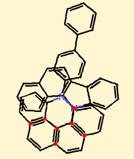 c1ccc(-c2ccc(N(c3ccccc3-c3ccccc3)c3ccccc3-c3ccccc3-n3c4ccccc4c4ccc5ccccc5c43)cc2)cc1